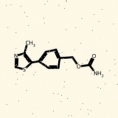 Cc1ncsc1-c1ccc(COC(N)=O)cc1